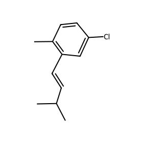 Cc1ccc(Cl)cc1/C=C/C(C)C